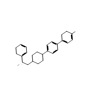 C[C@H](CC1CCC(c2ccc(C3=CC=C(Cl)CC3)cc2)CC1)C1=CC=CCC1